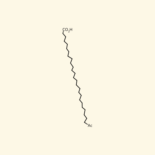 CC(=O)CCCCCCCCCCCCCCCCCCCCCCCCCC(=O)O